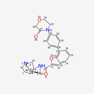 O=C(N[C@H]1CN2CCC1CC2)c1cc2cccc(-c3ccc(N4CCOCC4=O)cc3)c2o1